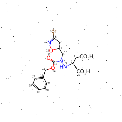 O=C(O)C[C@H](NN(CC1CC(Br)=NO1)C(=O)OCc1ccccc1)C(=O)O